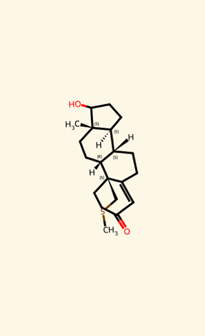 CSC[C@]12CCC(=O)C=C1CC[C@@H]1[C@H]2CC[C@]2(C)C(O)CC[C@@H]12